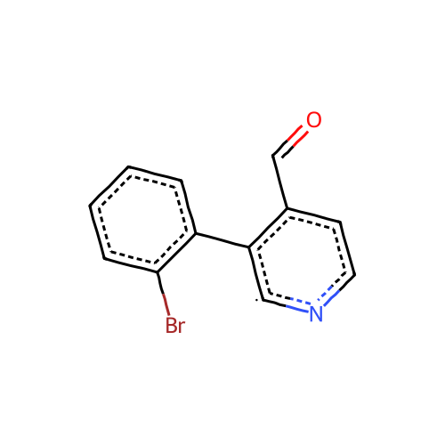 O=Cc1ccn[c]c1-c1ccccc1Br